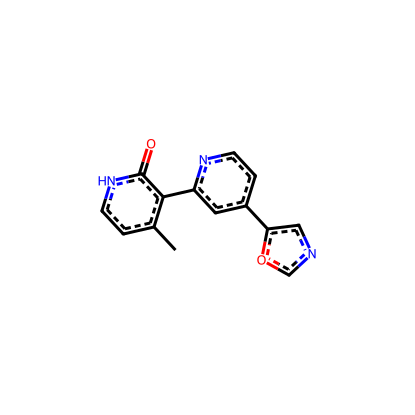 Cc1cc[nH]c(=O)c1-c1cc(-c2cnco2)ccn1